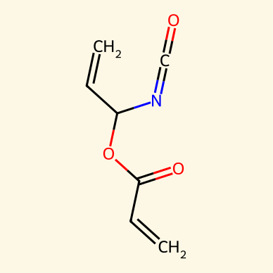 C=CC(=O)OC(C=C)N=C=O